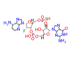 Nc1nc2c(ncn2[C@@H]2O[C@@H]3COP(=O)(O)OC4[C@@H](CO[P@@](=O)(S)O[C@H]2C3O)O[C@@H](n2cnc3c(N)ccnc32)[C@H]4F)c(=O)[nH]1